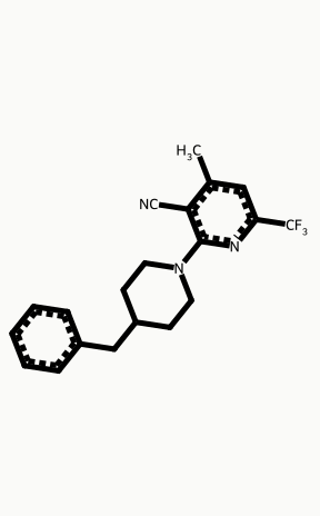 Cc1cc(C(F)(F)F)nc(N2CCC(Cc3ccccc3)CC2)c1C#N